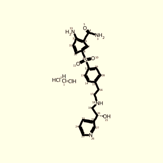 Cl.Cl.Cl.NC(=O)c1cc(S(=O)(=O)c2ccc(CCNC[C@H](O)c3cccnc3)cc2)ccc1N